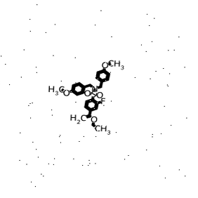 C=C(OCC)c1ccc(S(=O)(=O)N(Cc2ccc(OC)cc2)Cc2ccc(OC)cc2)c(F)c1